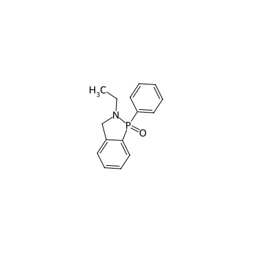 CCN1Cc2ccccc2P1(=O)c1ccccc1